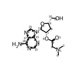 CN(C)CC(=O)O[C@H]1C[C@@H](CO)O[C@H]1n1cnc2c(N)ncnc21